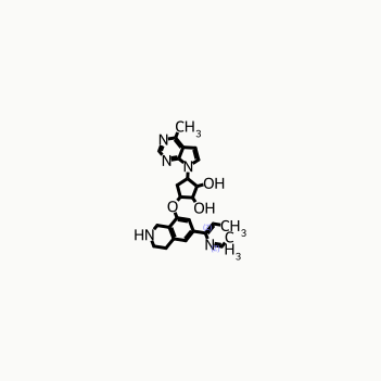 C/C=N\C(=C/C)c1cc2c(c(OC3CC(n4ccc5c(C)ncnc54)C(O)C3O)c1)CNCC2